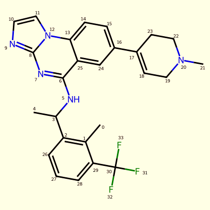 Cc1c(C(C)Nc2nc3nccn3c3ccc(C4=CCN(C)CC4)cc23)cccc1C(F)(F)F